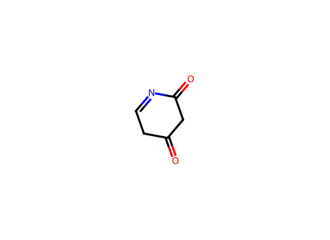 O=C1CC=NC(=O)C1